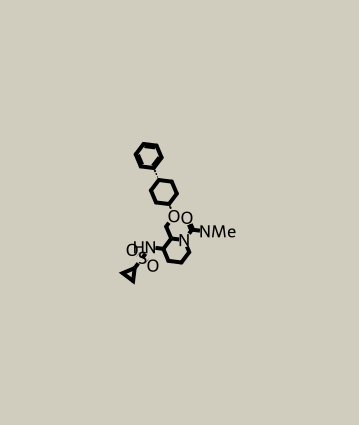 CNC(=O)N1CCCC(NS(=O)(=O)C2CC2)C1CO[C@H]1CC[C@@H](c2ccccc2)CC1